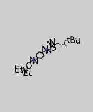 CCN(CC)c1ccc(/N=N/c2ccc(/N=N/c3nnc(CCC(C)CC(C)(C)C)s3)cc2)cc1